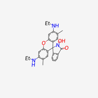 CCNc1cc2c(cc1C)C1(c3cc(C)c(NCC)cc3O2)c2ccccc2C(=O)N1O